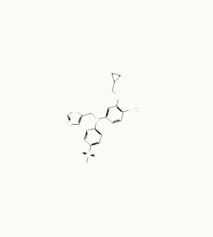 COc1ccc(N(Cc2cncs2)c2ccc(S(C)(=O)=O)cc2)cc1OCC1CC1